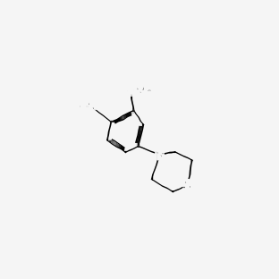 COc1cc(N2CCNCC2)ccc1N=O